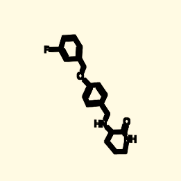 O=C1NCCCC1NCc1ccc(OCc2cccc(F)c2)cc1